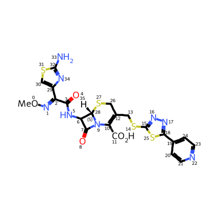 CON=C(C(=O)NC1C(=O)N2C(C(=O)O)=C(CSc3nnc(-c4ccncc4)s3)CS[C@@H]12)c1csc(N)n1